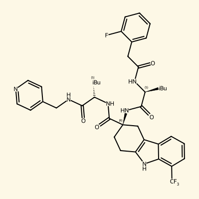 CCC(C)[C@H](NC(=O)Cc1ccccc1F)C(=O)N[C@]1(C(=O)NC(C(=O)NCc2ccncc2)[C@@H](C)CC)CCc2[nH]c3c(C(F)(F)F)cccc3c2C1